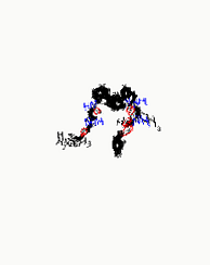 CC(C)(CC(=O)N[C@@H]1CCc2ccccc2N(Cc2ccc(-c3ccccc3CNC(=O)Cc3c[nH]c(COCC[Si](C)(C)C)n3)cc2)C1=O)NC(=O)OCc1ccccc1